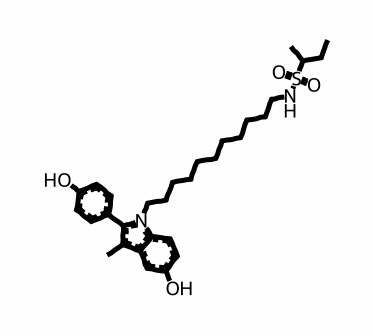 CCC(C)S(=O)(=O)NCCCCCCCCCCCn1c(-c2ccc(O)cc2)c(C)c2cc(O)ccc21